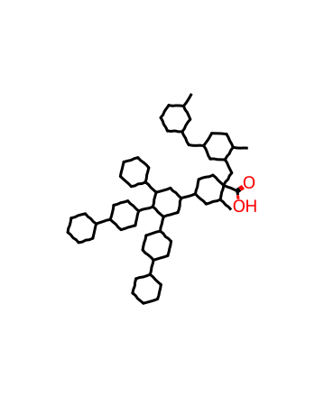 CC1CCCC(CC2CCC(C)C(CC3(C(=O)O)CCC(C4CC(C5CCCCC5)C(C5CCC(C6CCCCC6)CC5)C(C5CCC(C6CCCCC6)CC5)C4)CC3C)C2)C1